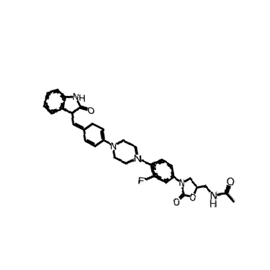 CC(=O)NCC1CN(c2ccc(N3CCN(C4=CCC(=CC5C(=O)Nc6ccccc65)C=C4)CC3)c(F)c2)C(=O)O1